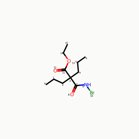 CCCC(CCC)(C(=O)NBr)C(=O)OCC